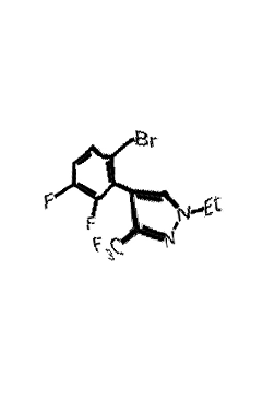 CCn1cc(-c2c(Br)ccc(F)c2F)c(C(F)(F)F)n1